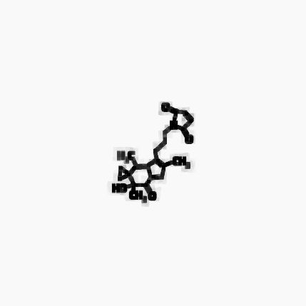 CC1=C(CCCN2C(=O)C=CC2=O)C2=C(C)C3(CC3)[C@@](C)(O)C(=O)C2=C1